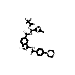 Cc1noc(C(NC(=O)c2ccc3[nH]nc(NC(=O)c4ccc(N5CCOCC5)cc4)c3c2)OC(=O)C(F)(F)F)n1